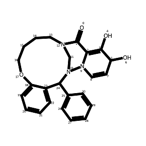 O=C1C2=C(O)C(O)C=CN2N2CN1CCCCOc1ccccc1C2c1ccccc1